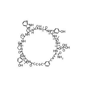 CCC1NC(=O)[C@@H]2CCCN2C(=O)[C@H](Cc2ccc(O)cc2)NC(=O)C(C(C)(C)C)NC(=O)CCSCc2cccc(c2)CSC[C@@H](C(N)=O)NC(=O)[C@H](COP(=O)(O)O)NC(=O)[C@](C)(C(C)C)NC(=O)[C@H](Cc2ccc(O)cc2)NC(=O)[C@H](C)NC(=O)C(C)(C)NC(=O)[C@H](Cc2c[nH]c3ncccc23)NC1=O